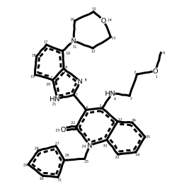 COCCNc1c(-c2nc3c(N4CCOCC4)cccc3[nH]2)c(=O)n(Cc2ccccc2)c2ccccc12